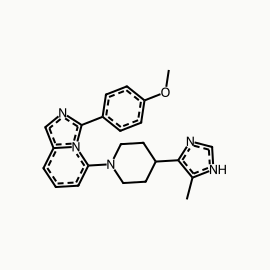 COc1ccc(-c2ncc3cccc(N4CCC(c5nc[nH]c5C)CC4)n23)cc1